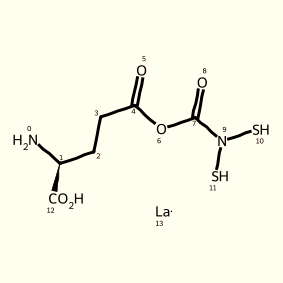 N[C@@H](CCC(=O)OC(=O)N(S)S)C(=O)O.[La]